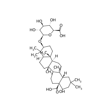 CC1(C)C[C@H](O)[C@]2(C(=O)O)CC[C@]3(C)C(=CC[C@@H]4[C@@]5(C)CC[C@H](O[C@@H]6O[C@H](C(=O)O)[C@@H](O)[C@H](O)[C@H]6O)C(C)(C)[C@@H]5CC[C@]43C)[C@@H]2C1